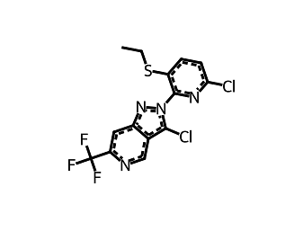 CCSc1ccc(Cl)nc1-n1nc2cc(C(F)(F)F)ncc2c1Cl